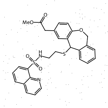 COC(=O)Cc1ccc2c(c1)C(SCCNS(=O)(=O)c1cccc3cccnc13)c1ccccc1CO2